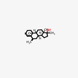 C=C1C[C@@H]2[C@@H](CC[C@@]3(C)[C@H]2CCC3(C)O)[C@@]2(C)CCCC=C12